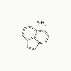 C1=Cc2cccc3cccc1c23.[SrH2]